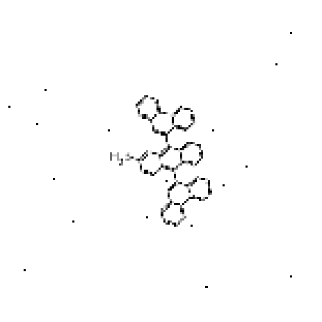 Bc1ccc2c(-c3cc4ccccc4c4ccccc34)c3ccccc3c(-c3cc4ccccc4c4ccccc34)c2c1